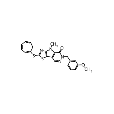 COc1cccc(Cn2ncc3c4sc(SC5=CC=CC=CC5)nc4n(C)c3c2=O)c1